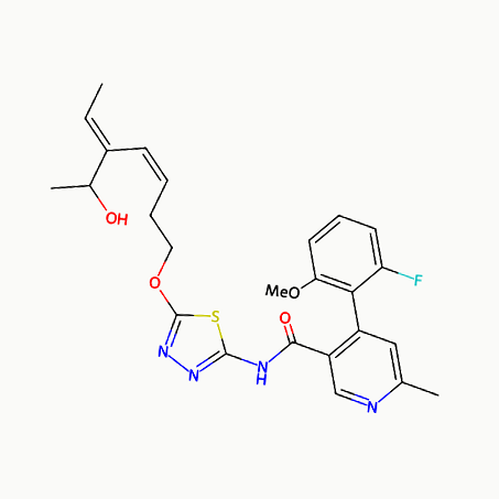 C/C=C(\C=C/CCOc1nnc(NC(=O)c2cnc(C)cc2-c2c(F)cccc2OC)s1)C(C)O